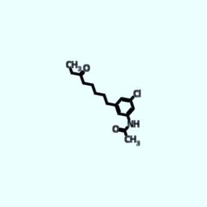 CCC(=O)CCCCCc1cc(Cl)cc(NC(C)=O)c1